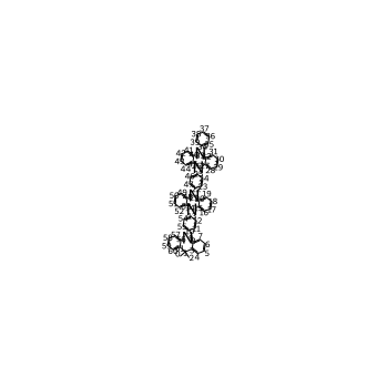 CC1(C)c2ccccc2N(c2ccc(N3c4ccccc4N(c4ccc(N5c6ccccc6N(c6ccccc6)c6ccccc65)cc4)c4ccccc43)cc2)c2ccccc21